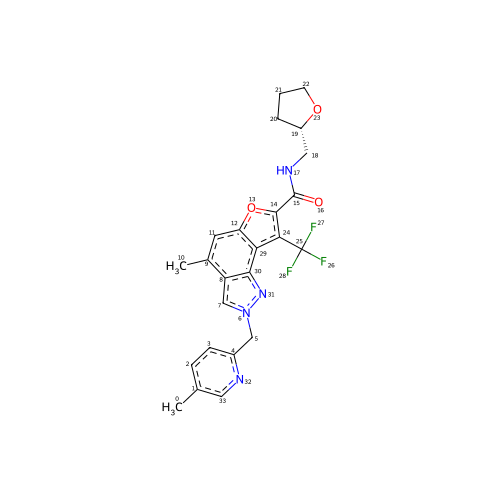 Cc1ccc(Cn2cc3c(C)cc4oc(C(=O)NC[C@@H]5CCCO5)c(C(F)(F)F)c4c3n2)nc1